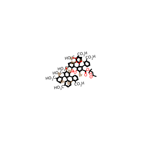 CC(O)CC(C)(C)OC(=O)c1c(Br)c(OOc2c(Br)c(C(=O)O)c(-c3cccc(C(=O)O)c3Br)c(-c3cccc(C(=O)O)c3Br)c2-c2cccc(C(=O)O)c2Br)c(-c2c(-c3cccc(C(=O)O)c3Br)ccc(C(=O)O)c2Br)c(-c2cccc(C(=O)O)c2Br)c1-c1cccc(C(=O)O)c1Br